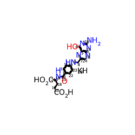 Nc1nc(O)c2nc(CNc3ccc(C(=O)NC(CCC(=O)O)C(=O)O)cc3)cnc2n1.[KH]